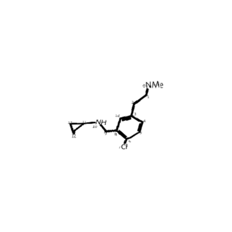 CNCCc1ccc(Cl)c(CNC2CC2)c1